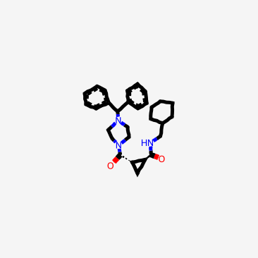 O=C(NCC1CCCCC1)[C@H]1C[C@@H]1C(=O)N1CCN(C(c2ccccc2)c2ccccc2)CC1